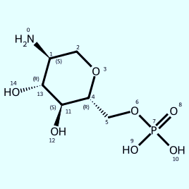 N[C@H]1CO[C@H](COP(=O)(O)O)[C@@H](O)[C@@H]1O